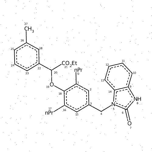 CCCc1cc(Cn2c(=O)[nH]c3ccccc32)cc(CCC)c1OC(C(=O)OCC)c1cccc(C)c1